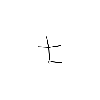 C[Te]C(C)(C)C